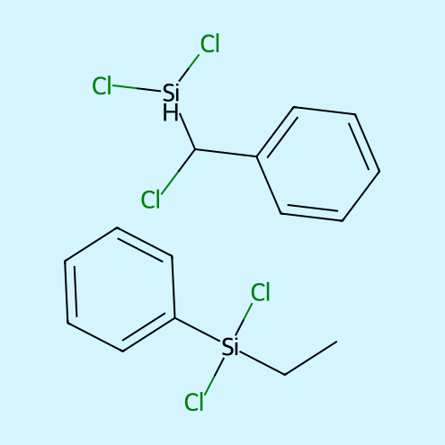 CC[Si](Cl)(Cl)c1ccccc1.ClC(c1ccccc1)[SiH](Cl)Cl